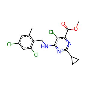 COC(=O)c1nc(C2CC2)nc(NCc2c(C)cc(Cl)cc2Cl)c1Cl